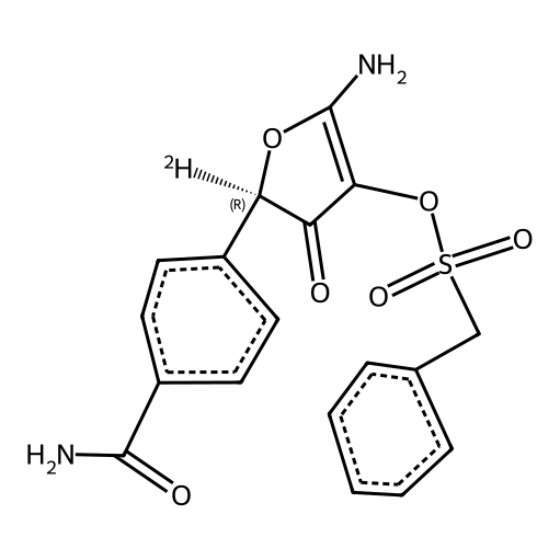 [2H][C@]1(c2ccc(C(N)=O)cc2)OC(N)=C(OS(=O)(=O)Cc2ccccc2)C1=O